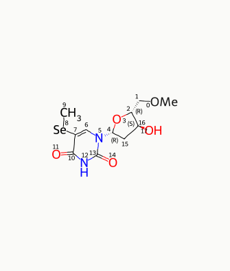 COC[C@H]1O[C@@H](n2cc([Se]C)c(=O)[nH]c2=O)C[C@@H]1O